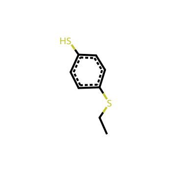 CCSc1ccc(S)cc1